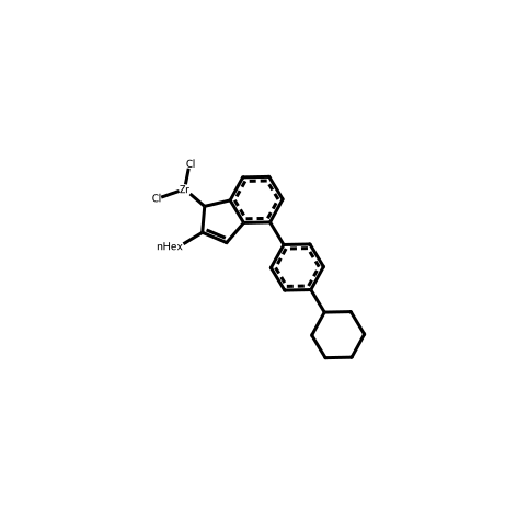 CCCCCCC1=Cc2c(-c3ccc(C4CCCCC4)cc3)cccc2[CH]1[Zr]([Cl])[Cl]